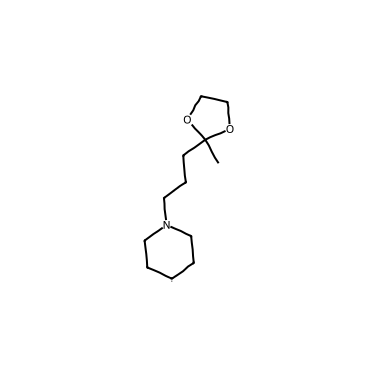 CC1(CCCN2CC[CH]CC2)OCCO1